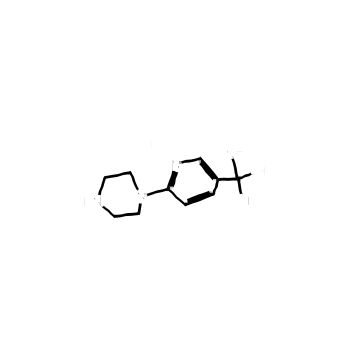 CC(C)(O)c1ccc(N2CCNCC2)nc1.Cl